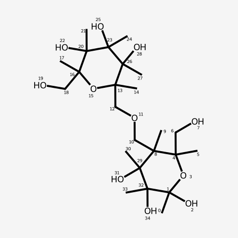 CC1(O)OC(C)(CO)C(C)(COCC2(C)OC(C)(CO)C(C)(O)C(C)(O)C2(C)O)C(C)(O)C1(C)O